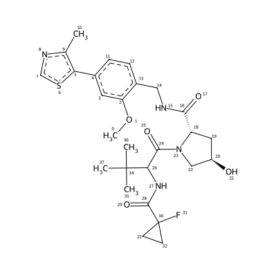 COc1cc(-c2scnc2C)ccc1CNC(=O)[C@@H]1C[C@@H](O)CN1C(=O)C(NC(=O)C1(F)CC1)C(C)(C)C